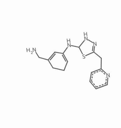 NCC1=CC(NC2NN=C(Cc3ccccn3)S2)=CCC1